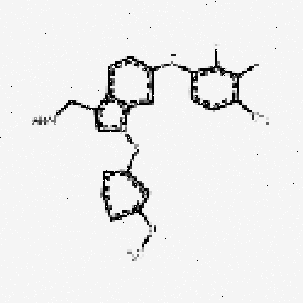 CNCc1cn(Sc2cccc(OC(F)(F)F)c2)c2cc(Nc3ccc(C)c(F)c3F)ccc12